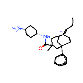 CC/C=C1\CCC2(c3ccccc3)CC1CC(C)(C(=O)N[C@H]1CC[C@H](N)CC1)C2